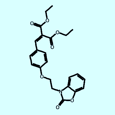 CCOC(=O)C(=Cc1ccc(OCCn2c(=O)oc3ccccc32)cc1)C(=O)OCC